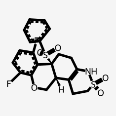 O=S1(=O)CCC2=C(CC[C@@]3(S(=O)(=O)c4ccccc4)c4c(F)ccc(F)c4OC[C@@H]23)N1